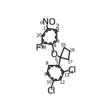 O=[N+]([O-])c1ccc(OC2(c3ccc(Cl)cc3Cl)CCC2)c(F)c1